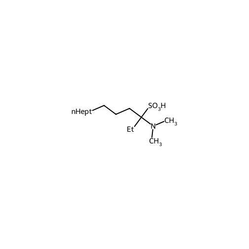 CCCCCCCCCCC(CC)(N(C)C)S(=O)(=O)O